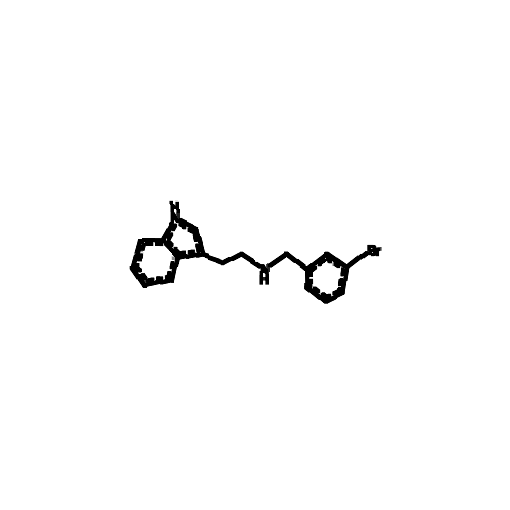 Brc1cccc(CNCCc2c[nH]c3ccccc23)c1